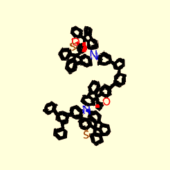 c1ccc(-c2cc(-c3ccccc3)cc(-c3ccc(N(c4ccc5c(c4)C4(c6ccccc6Oc6cc(-c7cccc(-c8cccc(-c9ccc(N(c%10ccc%11c(c%10)C%10(c%12ccccc%12Oc%12ccccc%12%10)c%10ccccc%10-%11)c%10ccc%11c(c%10)C%10(c%12ccccc%12Sc%12ccccc%12%10)c%10ccccc%10-%11)cc9)c8)c7)ccc64)c4ccccc4-5)c4ccc5c(c4)C4(c6ccccc6Sc6ccccc64)c4ccccc4-5)cc3)c2)cc1